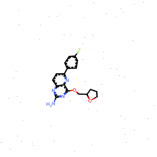 Nc1nc(OCC2CCCO2)c2nc(-c3ccc(F)cc3)ccc2n1